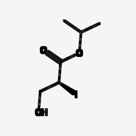 CC(C)OC(=O)[C@@H](I)CO